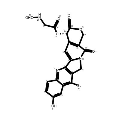 CCc1c2c(nc3ccc(O)cc13)-c1cc3c(c(=O)n1C2)COC(=O)[C@H]3OC(=O)CNC=O